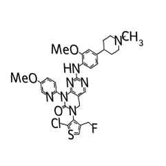 COc1ccc(N2C(=O)N(c3c(CF)csc3Cl)Cc3cnc(Nc4ccc(C5CCN(C)CC5)cc4OC)nc32)nc1